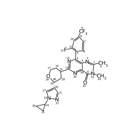 Cc1nc2c(-c3ccc(C(F)(F)F)cc3F)nc(C3CCO[C@@H](c4cnn(C5CC5)c4)C3)nc2c(=O)n1C